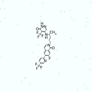 C[C@@H](CCCn1ccc2cc(-c3ccc(C(F)(F)F)cn3)c(F)cc2c1=O)Nc1cn[nH]c(=O)c1C(F)(F)F